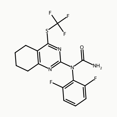 NC(=O)N(c1nc2c(c(SC(F)(F)F)n1)CCCC2)c1c(F)cccc1F